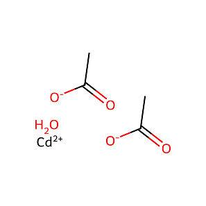 CC(=O)[O-].CC(=O)[O-].O.[Cd+2]